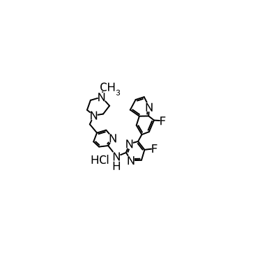 CN1CCN(Cc2ccc(Nc3ncc(F)c(-c4cc(F)c5ncccc5c4)n3)nc2)CC1.Cl